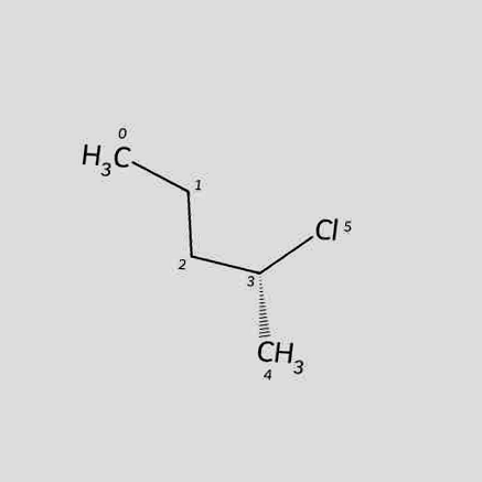 CCC[C@@H](C)Cl